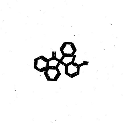 Cc1c(Br)cccc1C(Nc1ccccn1)(c1ccccc1)c1ccccc1